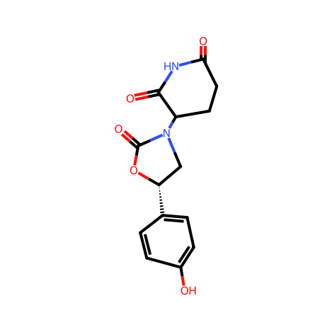 O=C1CCC(N2C[C@H](c3ccc(O)cc3)OC2=O)C(=O)N1